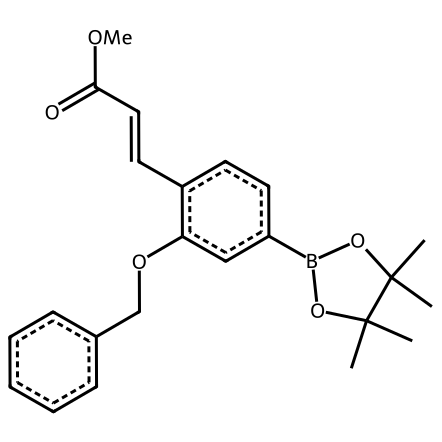 COC(=O)/C=C/c1ccc(B2OC(C)(C)C(C)(C)O2)cc1OCc1ccccc1